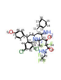 COc1ccc(C(CC(N)[C@H](Cc2ccccc2)C(N)[C@@H](C(=O)C(F)(F)C(=O)NCC(F)(F)F)C(C)C)c2cc(Cl)cc(Cl)c2)cc1